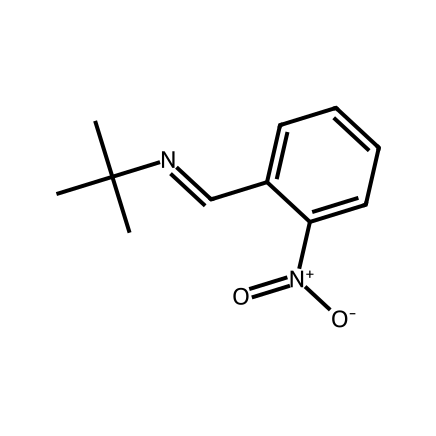 CC(C)(C)N=Cc1ccccc1[N+](=O)[O-]